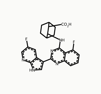 O=C(O)C1C2CCC(CC2)C1Nc1nc(-c2c[nH]c3ncc(F)cc23)nc2cccc(F)c12